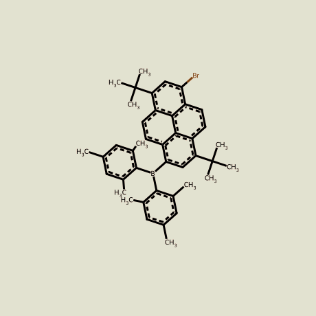 Cc1cc(C)c(B(c2c(C)cc(C)cc2C)c2cc(C(C)(C)C)c3ccc4c(Br)cc(C(C)(C)C)c5ccc2c3c45)c(C)c1